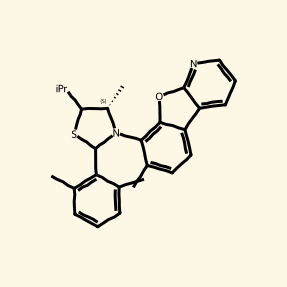 Cc1cccc(C)c1C1SC(C(C)C)[C@H](C)N1c1c(C)ccc2c1oc1ncccc12